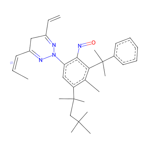 C=CC1=NN(c2cc(C(C)(C)CC(C)(C)C)c(C)c(C(C)(C)c3ccccc3)c2N=O)N=C(/C=C\C)C1